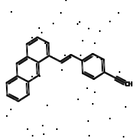 C#Cc1ccc(/C=C/c2cccc3cc4ccccc4cc23)cc1